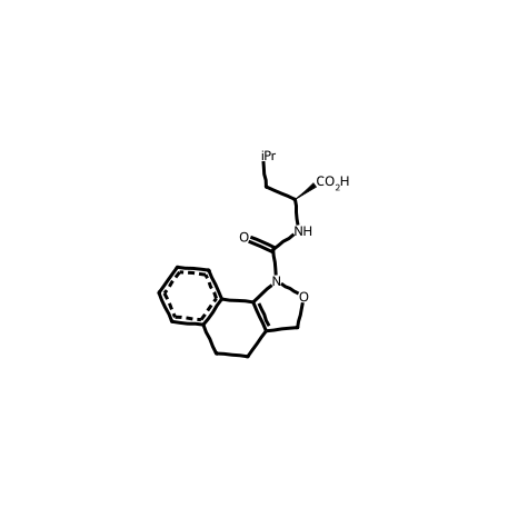 CC(C)C[C@H](NC(=O)N1OCC2=C1c1ccccc1CC2)C(=O)O